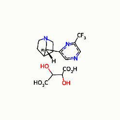 FC(F)(F)c1cncc([C@H]2CN3CCC2CC3)n1.O=C(O)C(O)C(O)C(=O)O